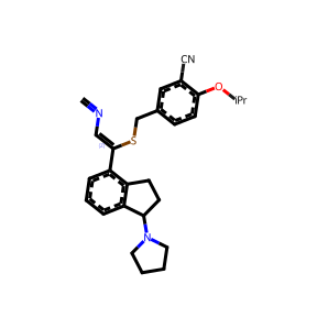 C=N/C=C(\SCc1ccc(OC(C)C)c(C#N)c1)c1cccc2c1CCC2N1CCCC1